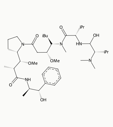 CC[C@H](C)[C@@H]([C@@H](CC(=O)N1CCC[C@H]1[C@H](OC)[C@@H](C)C(=O)N[C@H](C)[C@@H](O)c1ccccc1)OC)N(C)C(=O)[C@@H](NC(O)[C@H](C(C)C)N(C)C)C(C)C